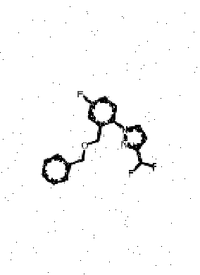 Fc1ccc(-n2ccc(C(F)F)n2)c(COCc2ccccc2)c1